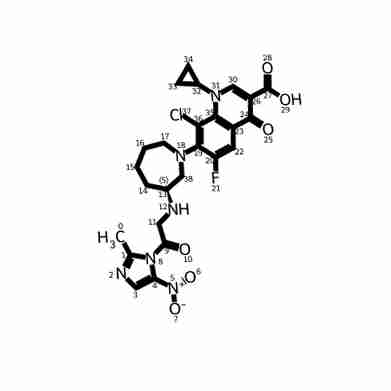 Cc1ncc([N+](=O)[O-])n1C(=O)CN[C@H]1CCCCN(c2c(F)cc3c(=O)c(C(=O)O)cn(C4CC4)c3c2Cl)C1